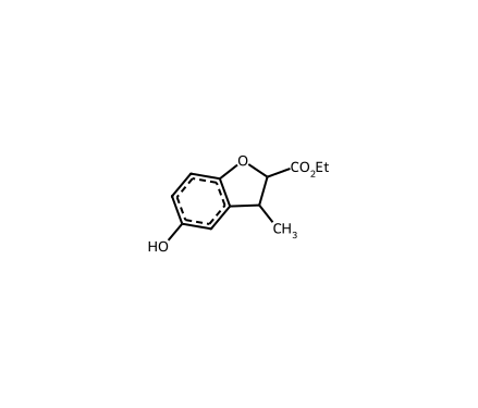 CCOC(=O)C1Oc2ccc(O)cc2C1C